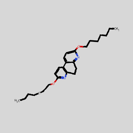 CCCCCCCOc1ccc2c(n1)CCc1nc(OCCCCCCC)ccc1-2